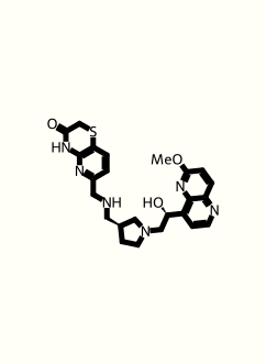 COc1ccc2nccc([C@@H](O)CN3CC[C@@H](CNCc4ccc5c(n4)NC(=O)CS5)C3)c2n1